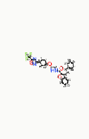 O=C(NCCOc1ccc(-c2noc(C(F)(F)F)n2)cc1)c1oc2ccccc2c1CCc1ccccc1